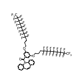 O=C(c1cc(OCCCC(F)(F)C(F)(F)C(F)(F)C(F)(F)C(F)(F)C(F)(F)C(F)(F)C(F)(F)F)cc(OCCCC(F)(F)C(F)(F)C(F)(F)C(F)(F)C(F)(F)C(F)(F)C(F)(F)C(F)(F)F)c1)N1c2ccccc2C=Cc2ccccc21